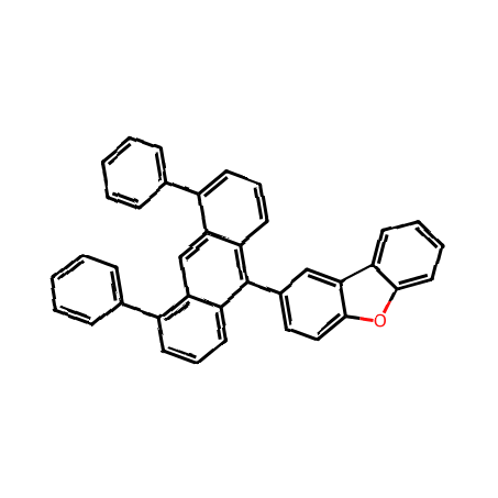 c1ccc(-c2cccc3c(-c4ccc5oc6ccccc6c5c4)c4cccc(-c5ccccc5)c4cc23)cc1